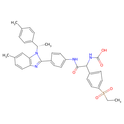 CCS(=O)(=O)c1ccc(C(NC(=O)O)C(=O)Nc2ccc(-c3nc4ccc(C)cc4n3[C@@H](C)c3ccc(C)cc3)cc2)cc1